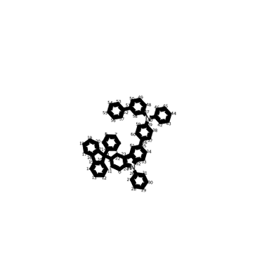 C1=CC(C2(c3ccccc3)c3ccccc3-c3ccccc32)Cc2c1n(-c1ccccc1)c1ccc(-c3ccc(N(c4ccccc4)c4cccc(-c5ccccc5)c4)cc3)cc21